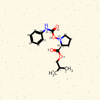 CC(C)COC(=O)[C@@H]1CCCN1OC(=O)Nc1ccccc1